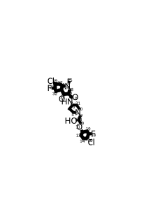 O=C(NC1CCN(C[C@@H](O)COc2ccc(Cl)c(F)c2)CC1)c1cn(F)c2cc(Cl)c(F)cc2c1=O